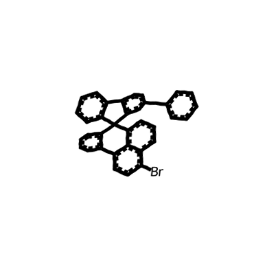 Brc1ccc2c3c(cccc13)C1(c3ccccc3-c3ccc(-c4ccccc4)cc31)c1ccccc1-2